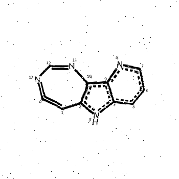 C1=Cc2[nH]c3cccnc3c2N=CN=1